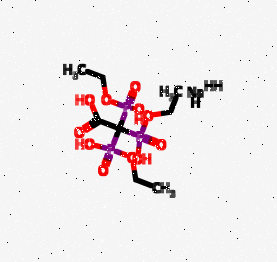 CCOP(=O)(O)C(C(=O)O)(P(=O)(O)OCC)P(=O)(O)OCC.[HH].[NaH]